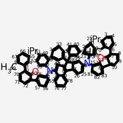 Cc1ccccc1-c1cccc2c1oc1c(N(c3ccc(C(C)C)cc3)c3ccc4c(c3)C(c3ccccc3)(c3ccccc3)c3cc(N(c5ccc(C(C)C)cc5)c5cccc6c5oc5c(-c7ccccc7C)cccc56)c5ccccc5c3-4)cccc12